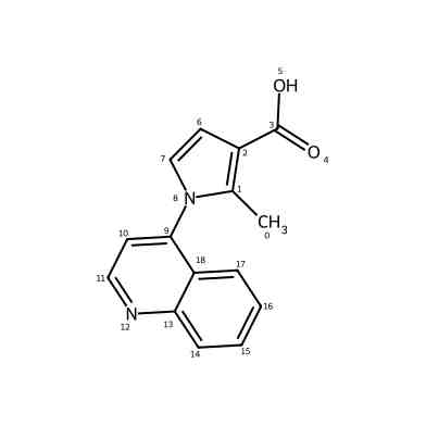 Cc1c(C(=O)O)ccn1-c1ccnc2ccccc12